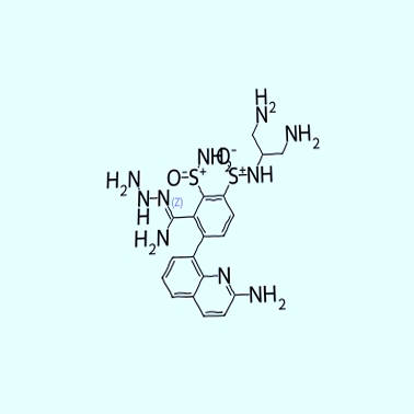 NCC(CN)N[S+]([O-])c1ccc(-c2cccc3ccc(N)nc23)c(/C(N)=N/NN)c1[S+](N)[O-]